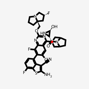 N#Cc1c(N)sc2c(F)ccc(-c3c(Cl)cc4c(N5CC6CCC(C5)N6C(=O)[C@@H]5N[C@@H]5O)nc(OC[C@@]56CCCN5C[C@H](F)C6)nc4c3F)c12